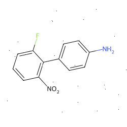 Nc1ccc(-c2c(F)cccc2[N+](=O)[O-])cc1